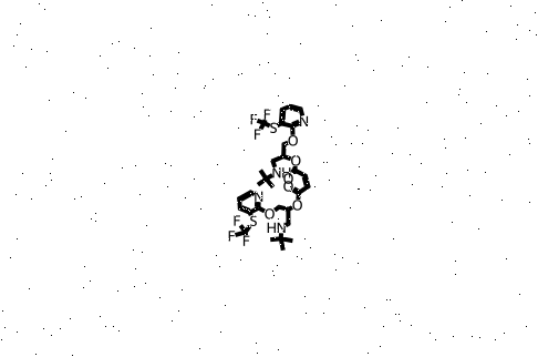 CC(C)(C)NCC(COc1ncccc1SC(F)(F)F)OC(=O)/C=C\C(=O)OC(CNC(C)(C)C)COc1ncccc1SC(F)(F)F